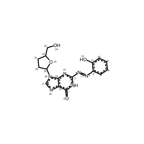 O=c1[nH]c(/N=N/c2ccccc2O)nc2c1ncn2C1CCC(CO)O1